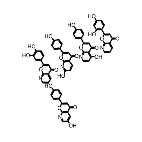 O=c1cc(-c2ccc(O)c(O)c2)oc2ncccc12.O=c1cc(-c2ccc(O)cc2)oc2nc(O)ccc12.O=c1cc(-c2ccc(O)cc2)oc2ncc(O)cc12.O=c1cc(-c2ccc(O)cc2)oc2nccc(O)c12.O=c1cc(-c2ccc(O)cc2O)oc2ncccc12